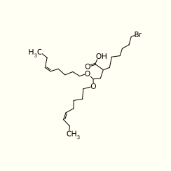 CC/C=C\CCCCOC(CC(CCCCCCBr)C(=O)O)OCCCC/C=C\CC